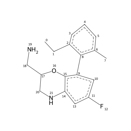 CCc1cccc(C)c1-c1cc(F)cc2c1OC(CN)CN2